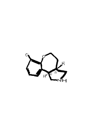 Clc1cccc2c1OCC[C@@H]1CNC[C@@H]21